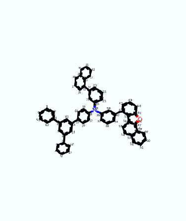 c1ccc(-c2cc(-c3ccccc3)cc(-c3ccc(N(c4cccc(-c5cccc6ccccc56)c4)c4cccc(-c5cccc6oc7c8ccccc8ccc7c56)c4)cc3)c2)cc1